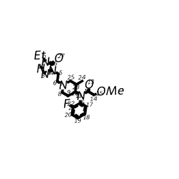 CCn1nnn(CCN2CCC(N(C(=O)COC)c3ccccc3F)C(C)C2)c1=O